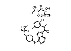 CNS(=O)(=O)CC1CCC(N(C)c2ncnc3c2ccn3C(=O)N(C)c2cc(C)ccc2O[C@@H]2O[C@H](C(=O)O)[C@@H](O)[C@H](O)[C@H]2O)CC1